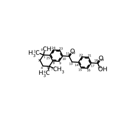 CC1(C)CCC(C)(C)c2cc(C(=O)Cc3ccc(C(=O)O)cc3)ccc21